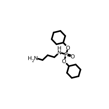 NCCCNP(=O)(OC1CCCCC1)OC1CCCCC1